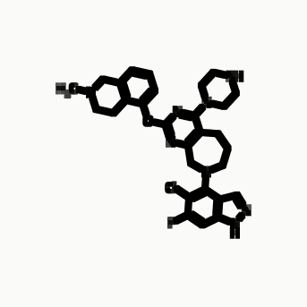 CN1CCc2c(cccc2Oc2nc3c(c(N4CCNCC4)n2)CCCN(c2c(Cl)c(F)cc4[nH]ncc24)C3)C1